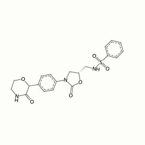 O=C1NCCOC1c1ccc(N2C[C@H](CNS(=O)(=O)c3ccccc3)OC2=O)cc1